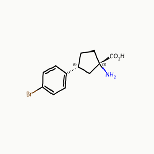 N[C@@]1(C(=O)O)CC[C@@H](c2ccc(Br)cc2)C1